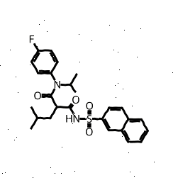 CC(C)CC(C(=O)NS(=O)(=O)c1ccc2ccccc2c1)C(=O)N(c1ccc(F)cc1)C(C)C